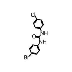 O=C(Nc1ccc(Cl)cc1)Nc1ccc(Br)cc1